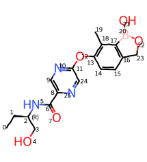 CC[C@H](CO)NC(=O)c1cnc(Oc2ccc3c(c2C)B(O)OC3)cn1